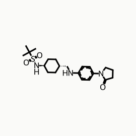 CC(C)(C)S(=O)(=O)N[C@H]1CC[C@H](CNc2ccc(N3CCCC3=O)cc2)CC1